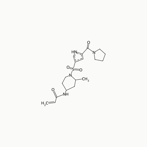 C=CC(=O)NC1CCN(S(=O)(=O)c2c[nH]c(C(=O)N3CCCC3)c2)C(C)C1